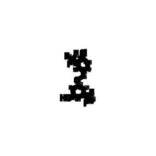 Oc1cc(OCc2ccc(Cl)c(C(F)(F)F)c2)cc(C(F)(F)F)c1